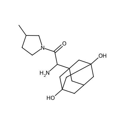 CC1CCN(C(=O)C(N)C23CC4CC(O)(CC(O)(C4)C2)C3)C1